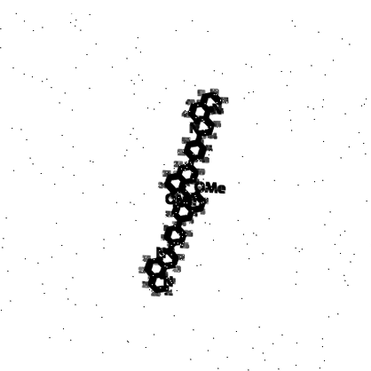 COc1ccc2cc(-c3ccc(-c4ccc5c(ccc6cccnc65)n4)cc3)ccc2c1-c1c(OC)ccc2cc(-c3ccc(-c4ccc5c(ccc6cccnc65)n4)cc3)ccc12